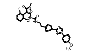 Cn1oc(NC(=O)NCCc2ccc(-c3ncn(-c4ccc(OC(F)(F)F)cc4)n3)cc2)c(-c2c(Cl)cccc2Cl)c1=O